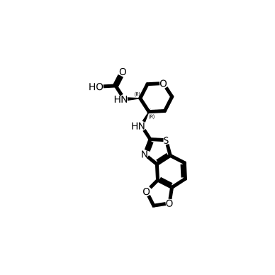 O=C(O)N[C@H]1COCC[C@H]1Nc1nc2c3c(ccc2s1)OCO3